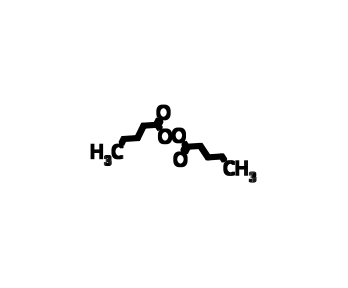 CCCCC(=O)OOC(=O)CCCC